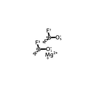 [Mg+2].[O-]B(F)F.[O-]B(F)F